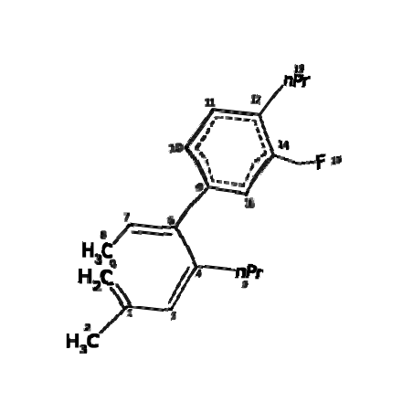 C=C(C)/C=C(CCC)\C(=C/C)c1ccc(CCC)c(F)c1